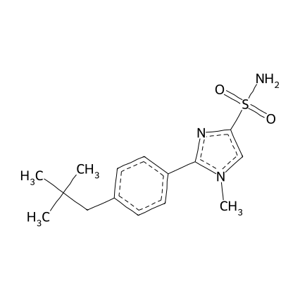 Cn1cc(S(N)(=O)=O)nc1-c1ccc(CC(C)(C)C)cc1